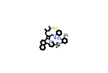 C=C(/C=C(\C)S)CC1=C(CN(C)c2ccccc2Nc2c(C(C)C)cccc2C(C)C)C2C1c1ccc3ccccc3c1-c1ccc([Si](C)(C)C)c[n+]12